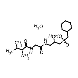 CC(C)[C@H](N)C(=O)NCC(=O)NC[C@@H](O)CP(=O)(O)CC1CCCCC1.O